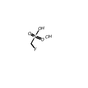 Cl.O=S(=O)(O)CF